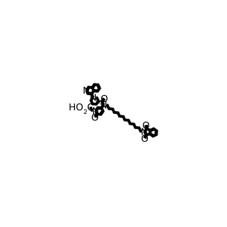 O=C(O)Cn1cc(N(CCCCCCCCCCCCCCN2C(=O)c3ccccc3C2=O)C(=O)[C@H]2CCCN(c3cncc4ccccc34)C2)ccc1=O